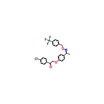 CC(=NOCc1ccc(C(F)(F)F)cc1)c1ccc(OCC(=O)c2ccc(Cl)cc2)cc1